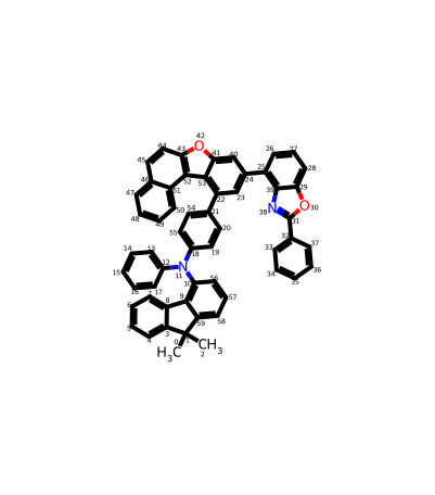 CC1(C)c2ccccc2-c2c(N(c3ccccc3)c3ccc(-c4cc(-c5cccc6oc(-c7ccccc7)nc56)cc5oc6ccc7ccccc7c6c45)cc3)cccc21